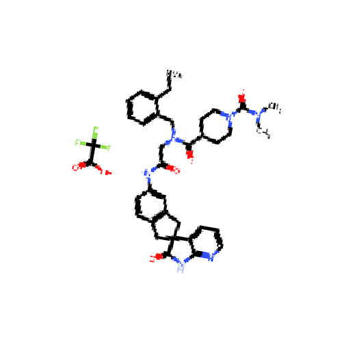 CNCc1ccccc1CN(CC(=O)Nc1ccc2c(c1)CC1(C2)C(=O)Nc2ncccc21)C(=O)C1CCN(C(=O)N(C)C)CC1.O=C(O)C(F)(F)F